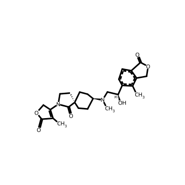 CC1=C(N2CC[C@]3(CC[C@H](N(C)C[C@H](O)c4ccc5c(c4C)COC5=O)CC3)C2=O)COC1=O